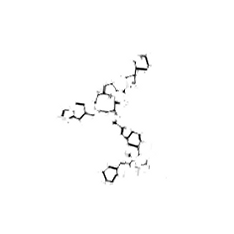 CC(C)N([C@@H](C)C(=O)O)P(=O)(Cc1ccc2sc(C(=O)N[C@H]3CN(Cc4ccn5ccnc5c4)CC[C@H]4CC[C@@H](C(=O)N5CC(c6cccnc6)C5)N4C3=O)cc2c1)NCc1ccccc1